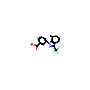 CC1CCCc2c(C(F)(F)F)nn(-c3cccc(C(=O)O)c3)c21